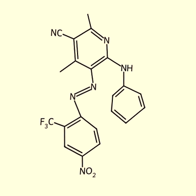 Cc1nc(Nc2ccccc2)c(N=Nc2ccc([N+](=O)[O-])cc2C(F)(F)F)c(C)c1C#N